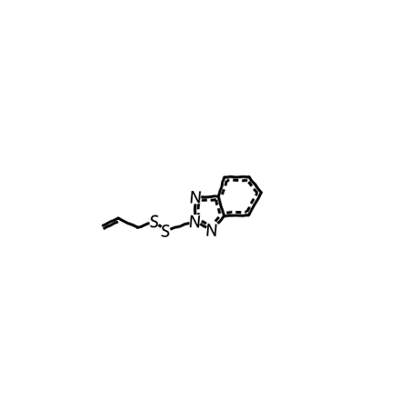 C=CCSSn1nc2ccccc2n1